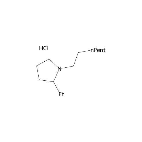 CCCCCCCN1CCCC1CC.Cl